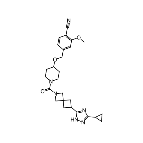 COc1cc(COC2CCN(C(=O)N3CC4(CC(c5nc(C6CC6)n[nH]5)C4)C3)CC2)ccc1C#N